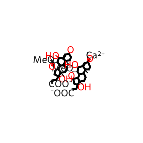 COC(=O)[C@H]1C2C(CC[C@@]3(C)C2CC[C@@]3(O)CCC(=O)[O-])[C@@]2(C)CCC(=O)C=C2[C@@H]1O.COC(=O)[C@H]1C2C(CC[C@@]3(C)C2CC[C@@]3(O)CCC(=O)[O-])[C@@]2(C)CCC(=O)C=C2[C@@H]1O.[Ca+2]